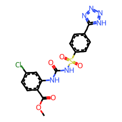 COC(=O)c1ccc(Cl)cc1NC(=O)NS(=O)(=O)c1ccc(-c2nnn[nH]2)cc1